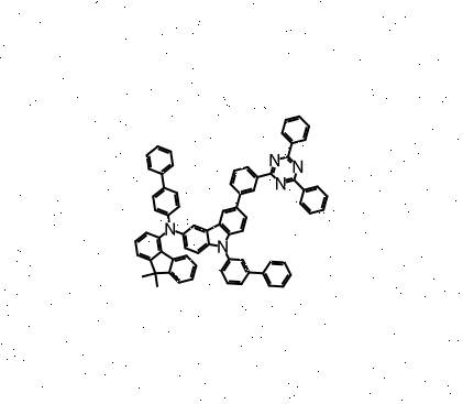 CC1(C)c2ccccc2-c2c(N(c3ccc(-c4ccccc4)cc3)c3ccc4c(c3)c3cc(-c5cccc(-c6nc(-c7ccccc7)nc(-c7ccccc7)n6)c5)ccc3n4-c3cccc(-c4ccccc4)c3)cccc21